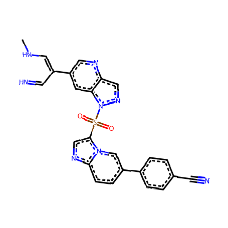 CN/C=C(\C=N)c1cnc2cnn(S(=O)(=O)c3cnc4ccc(-c5ccc(C#N)cc5)cn34)c2c1